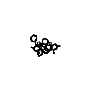 Cc1cc(C)c(N2C=CN(c3c(C)cc(C)cc3C)C2=C2C(Cl)CCCC2(Cl)P(=C=Cc2ccccc2)(C2CCCCC2)C2CCCCC2)c(C)c1